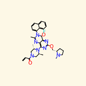 C=CC(=O)N1C[C@H](C)N(c2nc(OC[C@@H]3CCCN3C)nc3c(=O)n(-c4cccc5cccc(F)c45)c(C)nc23)[C@@H](C)C1